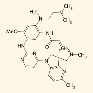 C=CC(=O)Nc1cc(Nc2nccc(N3CC4(CCN(C)C4)c4nc(C)ccc43)n2)c(OC)cc1N(C)CCN(C)C